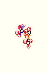 COc1cc(OC)c(C=C[S+]([O-])Cc2ccc(OC)c(OC(=O)c3cc([N+](=O)[O-])cc([N+](=O)[O-])c3)c2)c(OC)c1